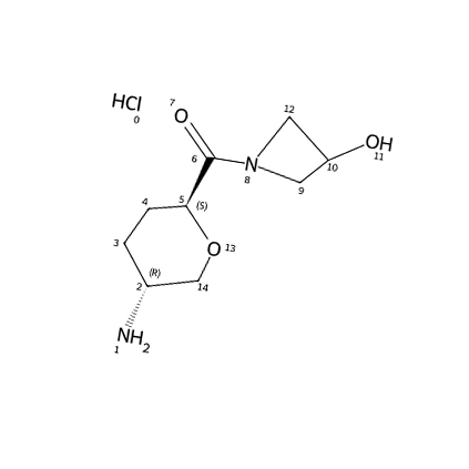 Cl.N[C@@H]1CC[C@@H](C(=O)N2CC(O)C2)OC1